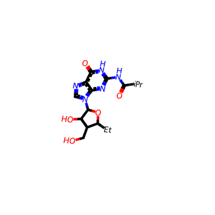 CCC1OC(n2cnc3c(=O)[nH]c(NC(=O)C(C)C)nc32)C(O)C1CO